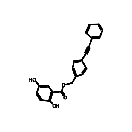 O=C(OCc1ccc(C#Cc2ccccc2)cc1)c1cc(O)ccc1O